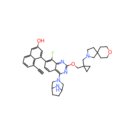 C#Cc1cccc2cc(O)cc(-c3ccc4c(N5CC6CCC(C5)N6)nc(OCC5(CN6CCC7(CCOCC7)C6)CC5)nc4c3F)c12